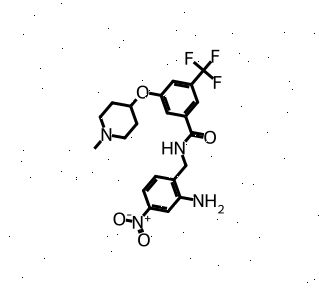 CN1CCC(Oc2cc(C(=O)NCc3ccc([N+](=O)[O-])cc3N)cc(C(F)(F)F)c2)CC1